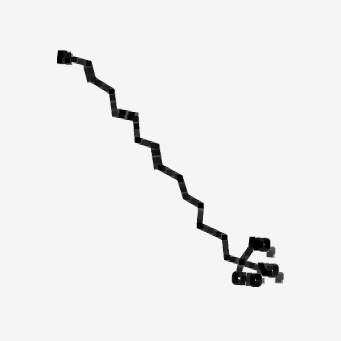 CCC=CCC=CCC=CCCCCCCC([C]=O)([N+](=O)[O-])[N+](=O)[O-]